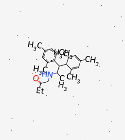 CCC(=O)CNC(C)C(c1c(C)cc(C)cc1C)C1C(C)=CC(C)=CC1C